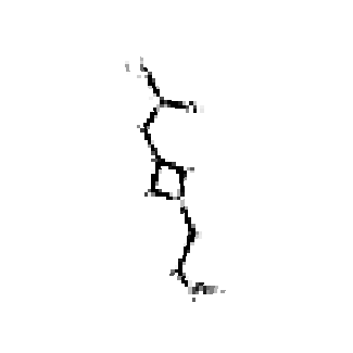 CCCCCCCN1CC(C[S+](N)[O-])C1